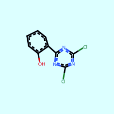 Oc1ccccc1-c1nc(Cl)nc(Cl)n1